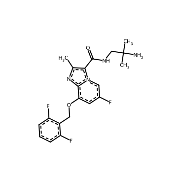 Cc1nc2c(OCc3c(F)cccc3F)cc(F)cn2c1C(=O)NCC(C)(C)N